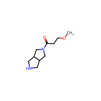 COCCC(=O)N1CC2CNCC2C1